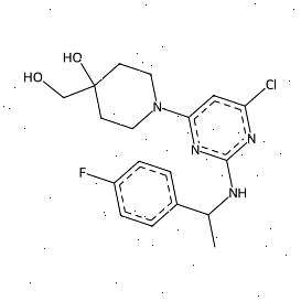 CC(Nc1nc(Cl)cc(N2CCC(O)(CO)CC2)n1)c1ccc(F)cc1